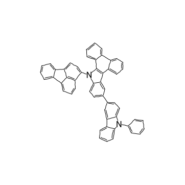 c1ccc(-n2c3ccccc3c3cc(-c4ccc5c(c4)c4c6ccccc6c6ccccc6c4n5-c4ccc5c6c(cccc46)-c4ccccc4-5)ccc32)cc1